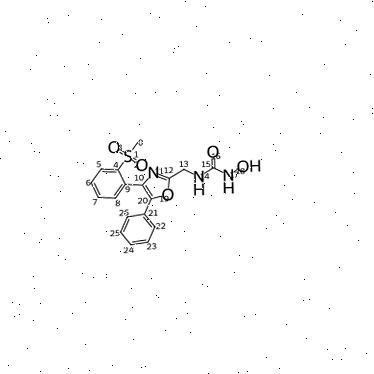 CS(=O)(=O)c1ccccc1-c1nc(CNC(=O)NO)oc1-c1ccccc1